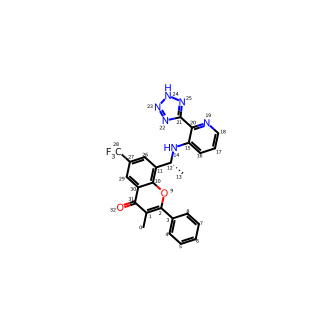 Cc1c(-c2ccccc2)oc2c([C@@H](C)Nc3cccnc3-c3nn[nH]n3)cc(C(F)(F)F)cc2c1=O